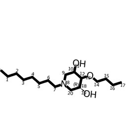 CCCCCCCCN1CC(O)C(OCCCC)[C@H](O)C1